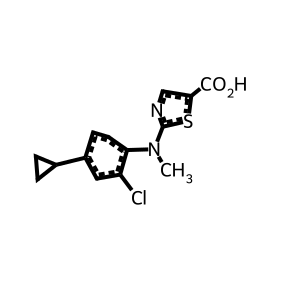 CN(c1ncc(C(=O)O)s1)c1ccc(C2CC2)cc1Cl